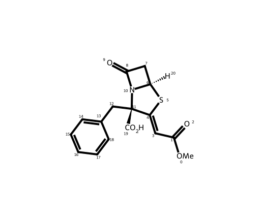 COC(=O)C=C1S[C@@H]2CC(=O)N2[C@]1(Cc1ccccc1)C(=O)O